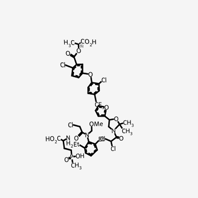 CC1(C)OC(c2ccco2)CN1C(=O)C(Cl)Cl.CCc1cccc(CC)c1N(COC)C(=O)CCl.CP(=O)(O)CCC(N)C(=O)O.C[C@H](OC(=O)c1cc(Oc2ccc(C(F)(F)F)cc2Cl)ccc1Cl)C(=O)O